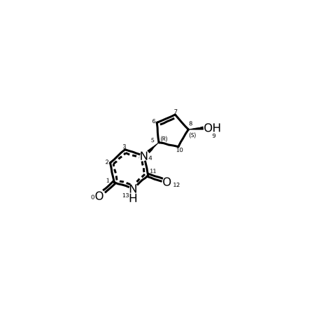 O=c1ccn([C@H]2C=C[C@@H](O)C2)c(=O)[nH]1